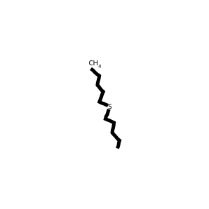 C.CCCCCSCCCCC